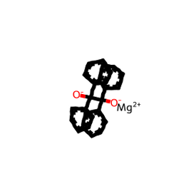 [Mg+2].[O-]C(c1ccccc1)(c1ccccc1)C([O-])(c1ccccc1)c1ccccc1